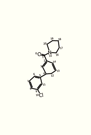 O=C(C1=CC(c2cccc(Cl)c2)CC=C1)N1CCCCC1